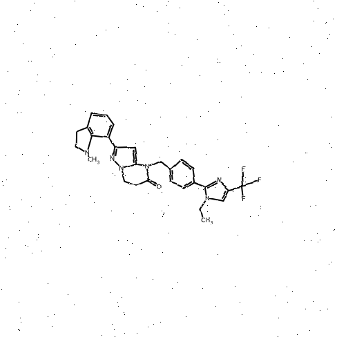 CCn1cc(C(F)(F)F)nc1-c1ccc(CN2C(=O)CCn3nc(-c4cccc5c4N(C)CC5)cc32)cc1